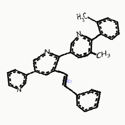 Cc1ccccc1-c1ncc(-c2ncc(-c3cccnc3)cc2/C=C/c2ccccc2)cc1C